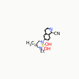 CCN1C[C@H](C)CN(c2ccc3c(C#N)nccc3c2)S1(O)O